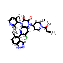 C=CC(=O)N1CCC(n2c(=O)c(=O)n(-c3c(C)ccnc3C(C)C)c3nc(-c4c(C)ccc5[nH]ncc45)c(F)cc32)C[C@@H]1C